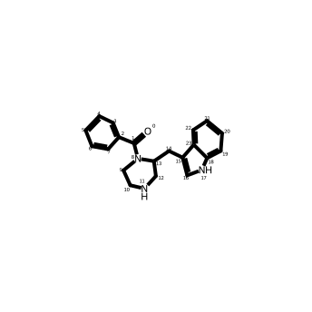 O=C(c1ccccc1)N1CCNCC1Cc1c[nH]c2ccccc12